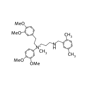 COc1ccc(CC[N+](C)(CCCNCc2cc(C)ccc2C)c2ccc(OC)c(OC)c2)cc1OC